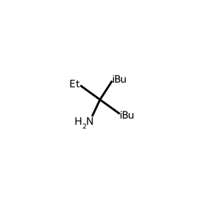 CCC(C)C(N)(CC)C(C)CC